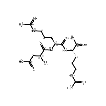 N=C(N)NCCC[C@H](NC(=O)[C@H](CCCNC(=N)N)NC(=O)[C@@H](N)CC(=O)O)C(=O)O